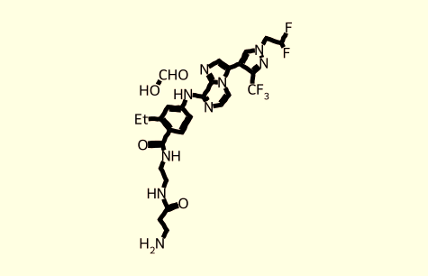 CCc1cc(Nc2nccn3c(-c4cn(CC(F)F)nc4C(F)(F)F)cnc23)ccc1C(=O)NCCNC(=O)CCN.O=CO